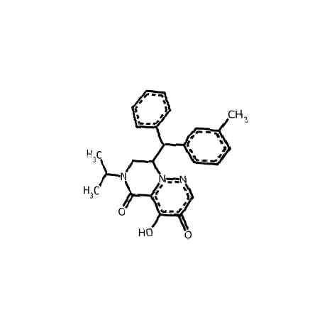 Cc1cccc(C(c2ccccc2)C2CN(C(C)C)C(=O)c3c(O)c(=O)cnn32)c1